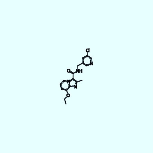 CCOc1cccn2c(C(=O)NCc3cncc(Cl)c3)c(C)nc12